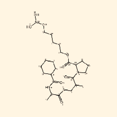 CC(CSC(=O)C(C)NC(=O)C1CCCCC1)C(=O)N1CCCC1C(=O)OCCCCCON(O)O